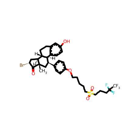 C[C@]12C[C@H](c3ccc(OCCCCCS(=O)(=O)CCCC(F)(F)C(F)(F)F)cc3)[C@@H]3c4ccc(O)cc4CC[C@H]3[C@@H]1C[C@@H](Br)C2=O